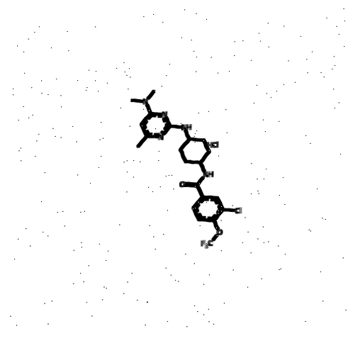 Cc1cc(N(C)C)nc(NC2CCC(NC(=O)c3ccc(OC(F)(F)F)c(Cl)c3)CC2)n1.Cl